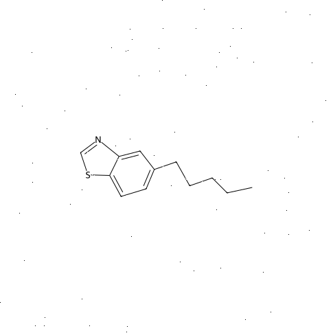 CCCCCc1ccc2scnc2c1